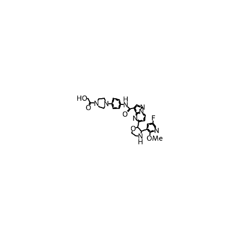 COc1ncc(F)cc1C1NCCOC1c1ccn2ncc(C(=O)Nc3ccc(N4CCN(C(=O)CO)CC4)cc3)c2n1